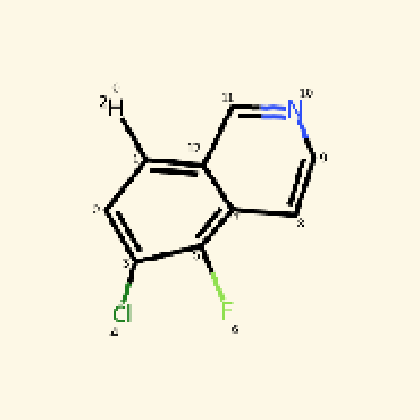 [2H]c1cc(Cl)c(F)c2ccncc12